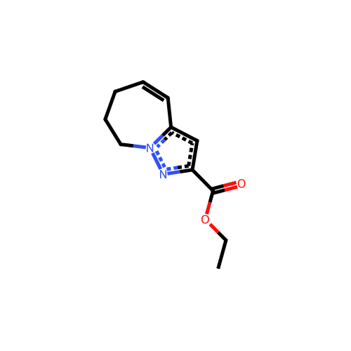 CCOC(=O)c1cc2n(n1)CCCC=C2